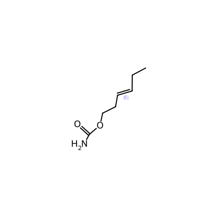 CC/C=C/CCOC(N)=O